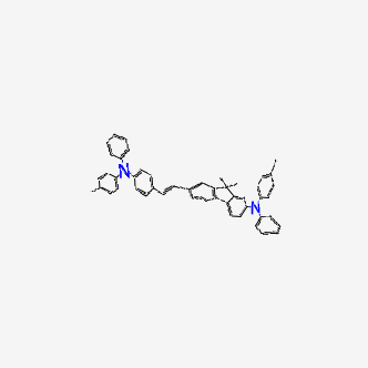 Cc1ccc(N(c2ccccc2)c2ccc(/C=C/c3ccc4c(c3)C(C)(C)c3cc(N(c5ccccc5)c5ccc(C)cc5)ccc3-4)cc2)cc1